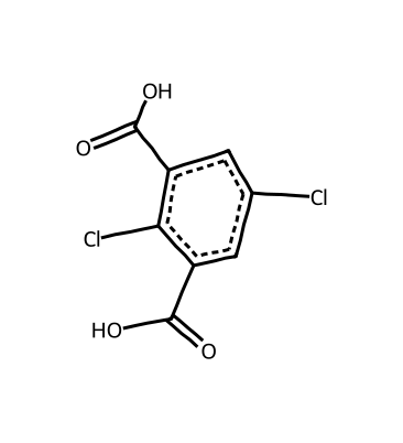 O=C(O)c1cc(Cl)cc(C(=O)O)c1Cl